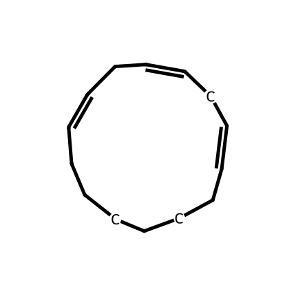 C1=CCC=CCCCCCCC=CC1